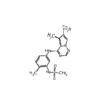 Cc1ccc(Nc2ncnn3cc(C(=O)O)c(C)c23)cc1NS(C)(=O)=O